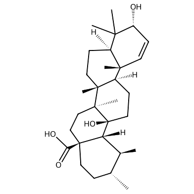 C[C@H]1[C@H](C)CC[C@]2(C(=O)O)CC[C@@]3(C)[C@]4(C)CC[C@H]5C(C)(C)[C@H](O)C=C[C@]5(C)[C@H]4CC[C@]3(O)[C@H]12